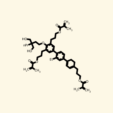 C=C(C)C(=O)OCCCC1=CC=C(c2ccc(-c3cc(CCCOC(=O)C(=C)C)c(OCCC(CO)(CO)CCC)c(CCCOC(=O)C(=C)C)c3)c(CC)c2)CC1